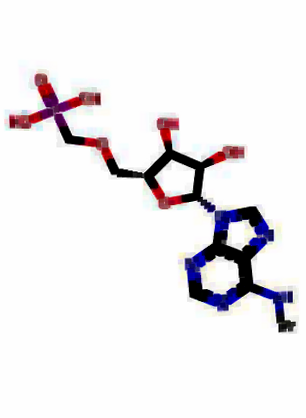 CC(C)Nc1ncnc2c1ncn2[C@@H]1O[C@H](COCP(=O)(O)O)[C@@H](O)[C@H]1O